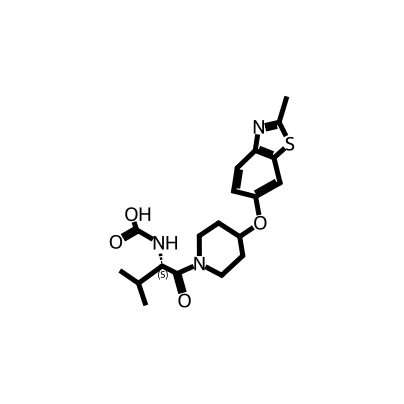 Cc1nc2ccc(OC3CCN(C(=O)[C@@H](NC(=O)O)C(C)C)CC3)cc2s1